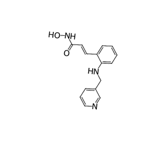 O=C(C=Cc1ccccc1NCc1cccnc1)NO